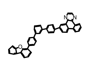 c1cc(-c2ccc(-c3ccc4c5ccccc5c5nccnc5c4c3)cc2)cc(-c2ccc(-c3cccc4c3oc3ccccc34)cc2)c1